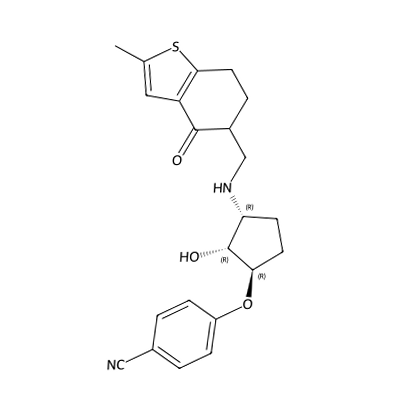 Cc1cc2c(s1)CCC(CN[C@@H]1CC[C@@H](Oc3ccc(C#N)cc3)[C@@H]1O)C2=O